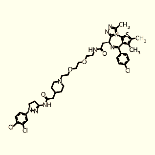 Cc1sc2c(c1C)C(c1ccc(Cl)cc1)=N[C@@H](CC(=O)NCCOCCOCCN1CCC(CC(=O)NC3=NN(c4ccc(Cl)c(Cl)c4)CC3)CC1)c1nnc(C)n1-2